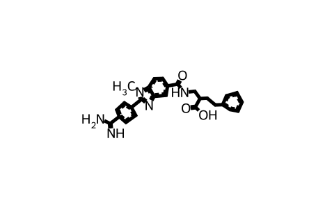 Cn1c(-c2ccc(C(=N)N)cc2)nc2cc(C(=O)NCC(CCc3ccccc3)C(=O)O)ccc21